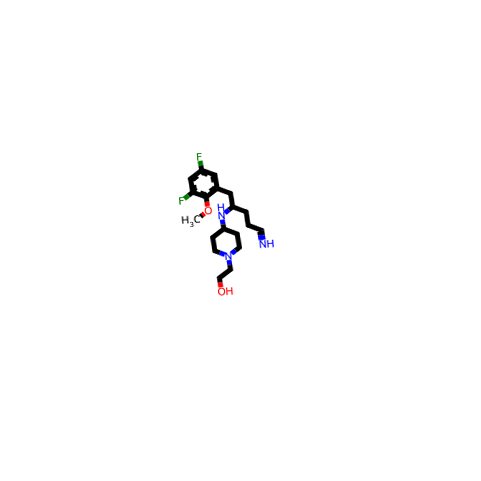 COc1c(F)cc(F)cc1CC(CCC=N)NC1CCN(CCO)CC1